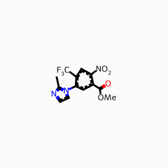 COC(=O)c1cc(-n2ccnc2C)c(C(F)(F)F)cc1[N+](=O)[O-]